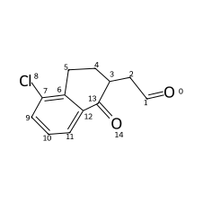 O=CCC1CCc2c(Cl)cccc2C1=O